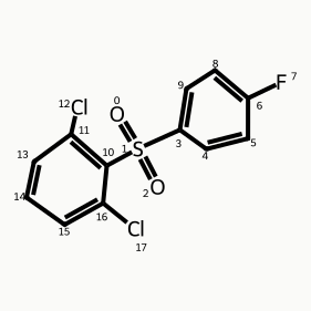 O=S(=O)(c1ccc(F)cc1)c1c(Cl)cccc1Cl